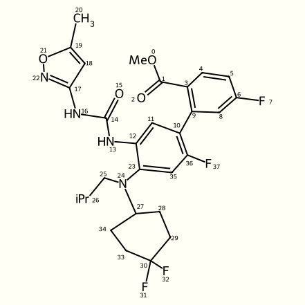 COC(=O)c1ccc(F)cc1-c1cc(NC(=O)Nc2cc(C)on2)c(N(CC(C)C)C2CCC(F)(F)CC2)cc1F